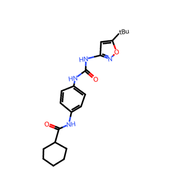 CC(C)(C)c1cc(NC(=O)Nc2ccc(NC(=O)C3CCCCC3)cc2)no1